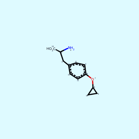 NC(Cc1ccc(OC2CC2)cc1)C(=O)O